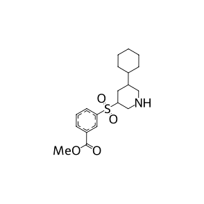 COC(=O)c1cccc(S(=O)(=O)C2CNCC(C3CCCCC3)C2)c1